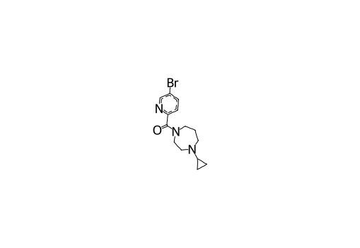 O=C(c1ccc(Br)cn1)N1CCCN(C2CC2)CC1